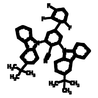 CC(C)(C)c1ccc2c(c1)c1ccccc1n2-c1cc(-c2c(F)ccc(F)c2F)cc(-n2c3ccccc3c3cc(C(C)(C)C)ccc32)c1C#N